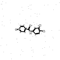 O=C(Nc1ccc(Cl)c(Cl)c1)c1cc[n+]([O-])cc1